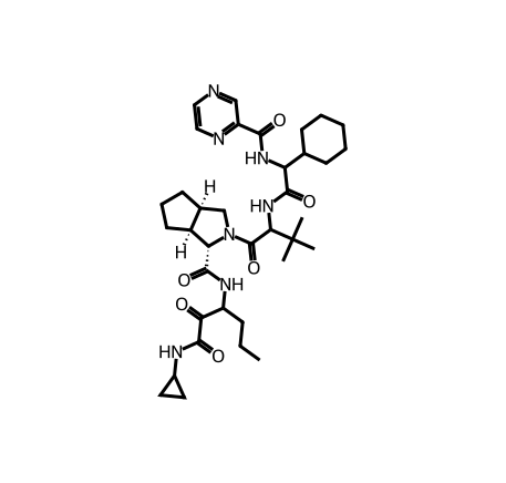 CCCC(NC(=O)[C@@H]1[C@H]2CCC[C@H]2CN1C(=O)C(NC(=O)C(NC(=O)c1cnccn1)C1CCCCC1)C(C)(C)C)C(=O)C(=O)NC1CC1